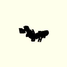 O=C(Nc1nc2ccccc2s1)c1ccc(C(=O)N2CCN(C(=O)NCc3ccccc3Br)CC2)cc1